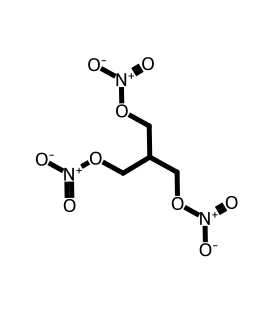 O=[N+]([O-])OCC(CO[N+](=O)[O-])CO[N+](=O)[O-]